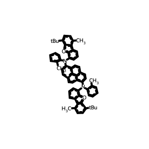 Cc1ccccc1N(c1ccc2ccc3c(N(c4ccccc4C)c4cccc5c4oc4c(C(C)(C)C)ccc(C)c45)ccc4ccc1c2c43)c1cccc2c1oc1c(C(C)(C)C)ccc(C)c12